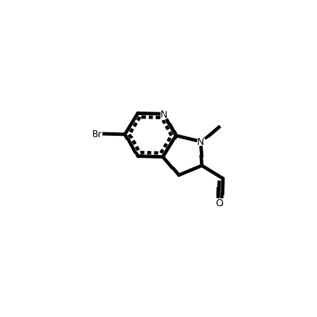 CN1c2ncc(Br)cc2CC1C=O